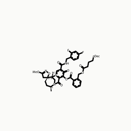 CCCCCCCCCCCCCC(=O)OCc1ccccc1C(=O)Oc1c2n(cc(C(=O)NCc3ccc(F)cc3F)c1=O)[C@@H]1CN(C2=O)[C@@H](C)CC[C@]12CC(OC)=NO2